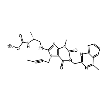 CC#CCn1c(NC[C@@H](C)NC(=O)OC(C)(C)C)nc2c1c(=O)n(Cc1nc(C)c3ccccc3n1)c(=O)n2C